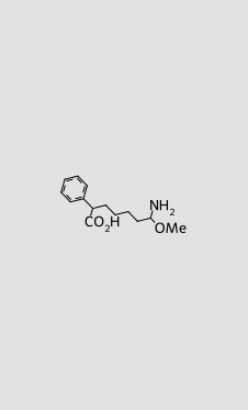 COC(N)CCCCC(C(=O)O)c1ccccc1